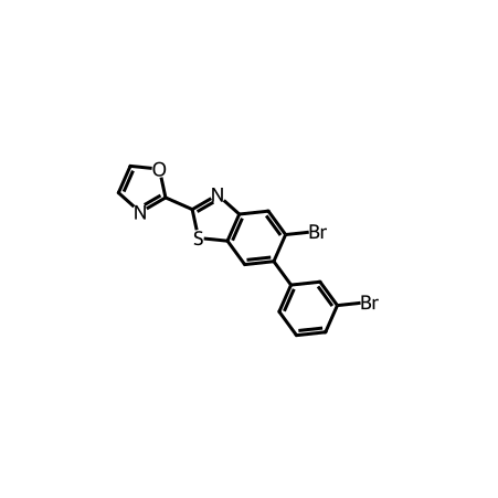 Brc1cccc(-c2cc3sc(-c4ncco4)nc3cc2Br)c1